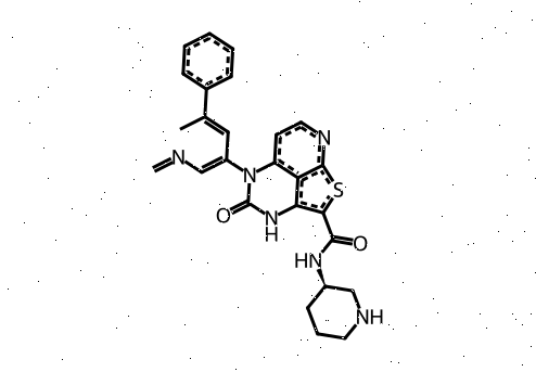 C=N/C=C(\C=C(/C)c1ccccc1)N1C(=O)Nc2c(C(=O)N[C@@H]3CCCNC3)sc3nccc1c23